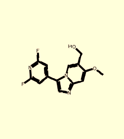 COc1cc2ncc(-c3cc(F)nc(F)c3)n2cc1CO